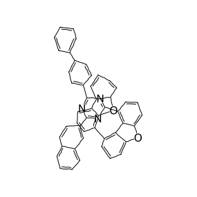 C1=CC2Oc3c(-c4cccc5oc6cccc(-c7nc(-c8ccc(-c9ccccc9)cc8)nc(-c8ccc9ccccc9c8)n7)c6c45)cccc3C2C=C1